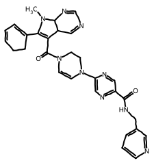 CN1C(C2=CC=CCC2)=C(C(=O)N2C=CN(c3cnc(C(=O)NCc4cccnc4)cn3)CC2)C2C=NC=NC21